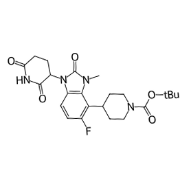 Cn1c(=O)n(C2CCC(=O)NC2=O)c2ccc(F)c(C3CCN(C(=O)OC(C)(C)C)CC3)c21